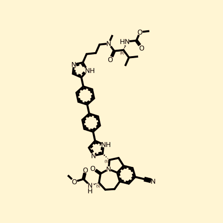 COC(=O)N[C@H]1CCc2cc(C#N)cc3c2N(C1=O)[C@H](c1ncc(-c2ccc(-c4ccc(-c5cnc(CCCN(C)C(=O)[C@H](NC(=O)OC)C(C)C)[nH]5)cc4)cc2)[nH]1)C3